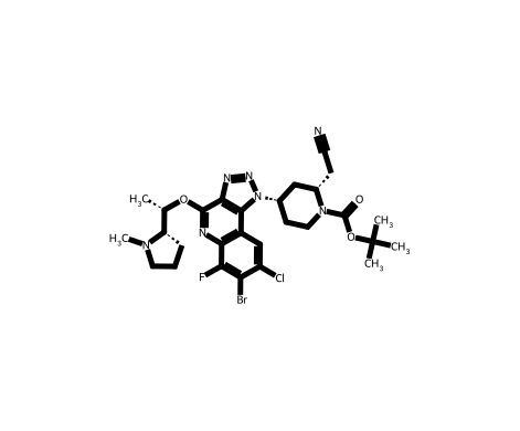 C[C@H](Oc1nc2c(F)c(Br)c(Cl)cc2c2c1nnn2[C@H]1CCN(C(=O)OC(C)(C)C)[C@@H](CC#N)C1)[C@@H]1CCCN1C